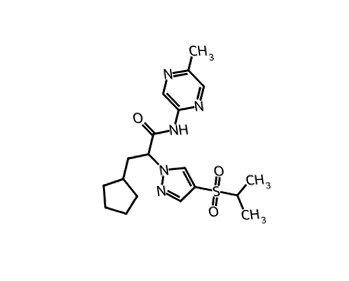 Cc1cnc(NC(=O)C(CC2CCCC2)n2cc(S(=O)(=O)C(C)C)cn2)cn1